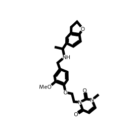 COc1cc(CNC(C)c2ccc3c(c2)CCO3)ccc1OCCn1c(=O)ccn(C)c1=O